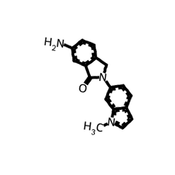 Cn1ccc2ccc(N3Cc4ccc(N)cc4C3=O)cc21